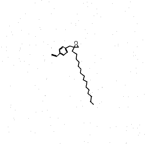 C=Cc1ccc(CC2(CCCCCCCCCCCCCCCC)CO2)cc1